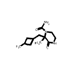 CC1(CC2CC(C(F)(F)F)C2)C(=O)NCCN1C(N)=O